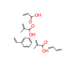 C=C(C)C(=O)O.C=C(C)C(=O)O.C=CC(=O)O.C=CC=C.C=Cc1ccccc1